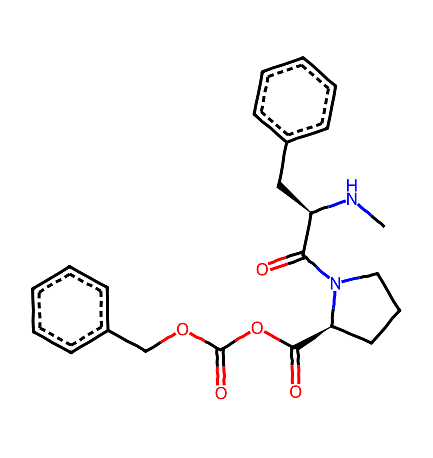 CN[C@H](Cc1ccccc1)C(=O)N1CCC[C@H]1C(=O)OC(=O)OCc1ccccc1